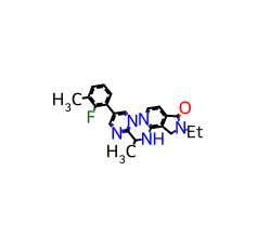 CCN1Cc2c(ccnc2NC(C)c2ncc(-c3cccc(C)c3F)cn2)C1=O